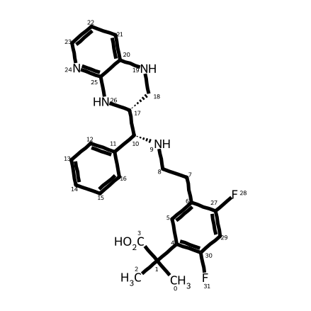 CC(C)(C(=O)O)c1cc(CCN[C@H](c2ccccc2)[C@H]2CNc3cccnc3N2)c(F)cc1F